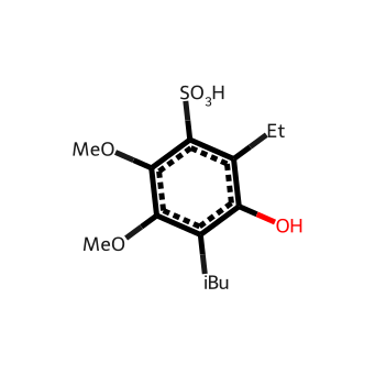 CCc1c(O)c(C(C)CC)c(OC)c(OC)c1S(=O)(=O)O